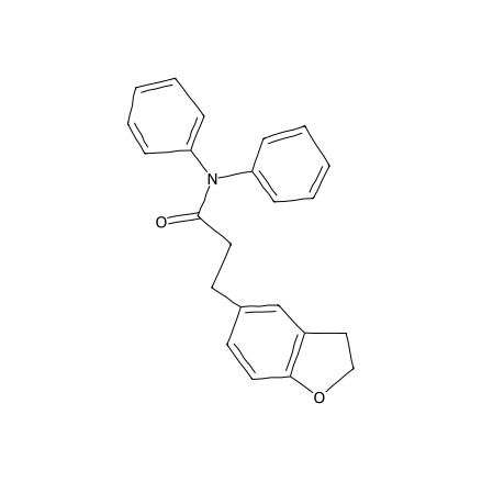 O=C(CCc1ccc2c(c1)CCO2)N(c1ccccc1)c1ccccc1